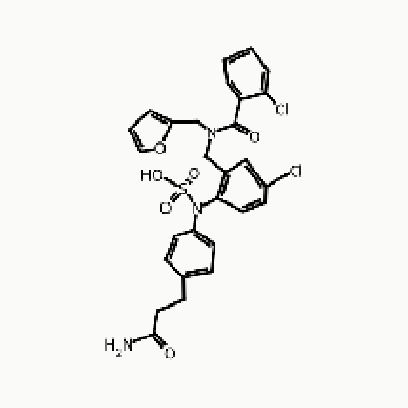 NC(=O)CCc1ccc(N(c2ccc(Cl)cc2CN(Cc2ccco2)C(=O)c2ccccc2Cl)S(=O)(=O)O)cc1